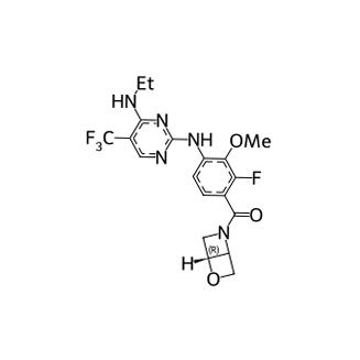 CCNc1nc(Nc2ccc(C(=O)N3C[C@H]4OCC43)c(F)c2OC)ncc1C(F)(F)F